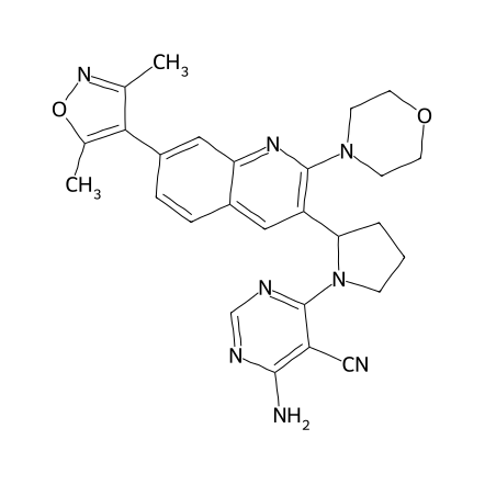 Cc1noc(C)c1-c1ccc2cc(C3CCCN3c3ncnc(N)c3C#N)c(N3CCOCC3)nc2c1